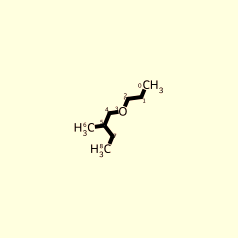 CC[CH]OCC(C)CC